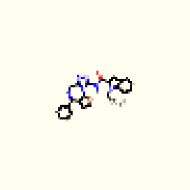 CN(C(=O)c1cc2ccccc2n1CC(=O)O)c1nnc2n1-c1sccc1C(c1ccccc1)=NC2